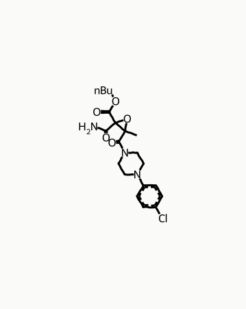 CCCCOC(=O)C1(C(N)=O)OC1(C)C(=O)N1CCN(c2ccc(Cl)cc2)CC1